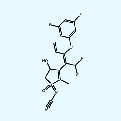 C=C/C(Oc1cc(F)cc(F)c1)=C(\C1=C(C)S(=O)(=NC#N)CC1O)C(F)F